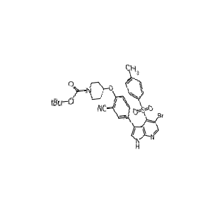 Cc1ccc(S(=O)(=O)c2c(Br)cnc3[nH]cc(-c4ccc(OC5CCN(C(=O)OC(C)(C)C)CC5)c(C#N)c4)c23)cc1